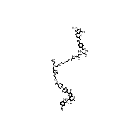 Cc1nc2cc(F)c(-c3cnc(N4CCN(C(=O)COCCn5cc(CN(CCO)CCOCCOCCOCCNC(=O)CC[C@H](NC(=O)c6ccc(NCc7cnc8nc(N)nc(O)c8n7)cc6)C(=O)O)nn5)CC4)nc3)nc2c(N[C@H](C)c2cc(C#N)ccc2F)c1Cl